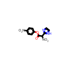 O=C(Oc1ccc([N+](=O)[O-])cc1)C(c1ncc[nH]1)[N+](=O)[O-]